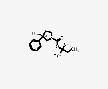 CCC(C)(C)OC(=O)N1CC[C@@](C)(c2ccccc2)C1